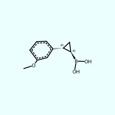 COc1cccc([C@@H]2C[C@H]2B(O)O)c1